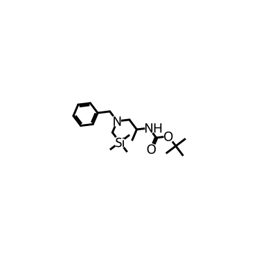 CC(CN(Cc1ccccc1)C[Si](C)(C)C)NC(=O)OC(C)(C)C